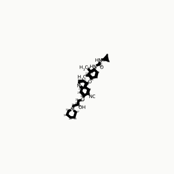 [C-]#[N+]c1cc2c(Oc3ccc(NC(=O)NC4CC4)c(C)c3C)ccnc2cc1OC[C@H](O)CN1CCCCC1